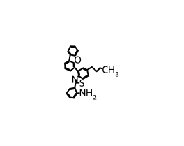 CCCCc1cc(-c2cccc3c2oc2ccccc23)c2nc(-c3ccccc3N)sc2c1